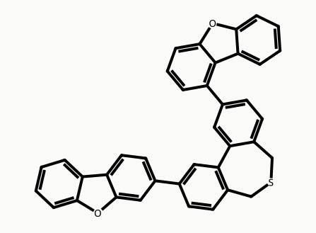 c1ccc2c(c1)oc1cc(-c3ccc4c(c3)-c3cc(-c5cccc6oc7ccccc7c56)ccc3CSC4)ccc12